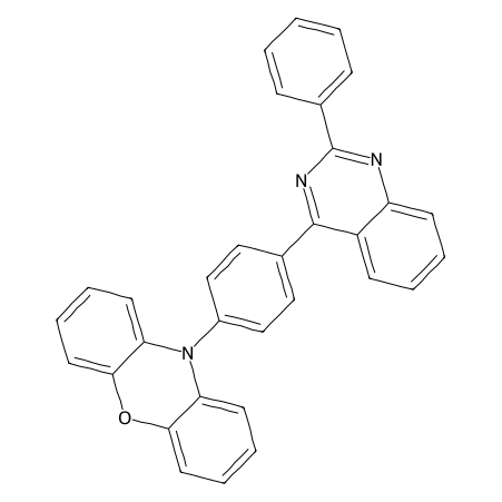 c1ccc(-c2nc(-c3ccc(N4c5ccccc5Oc5ccccc54)cc3)c3ccccc3n2)cc1